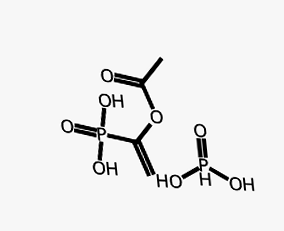 C=C(OC(C)=O)P(=O)(O)O.O=[PH](O)O